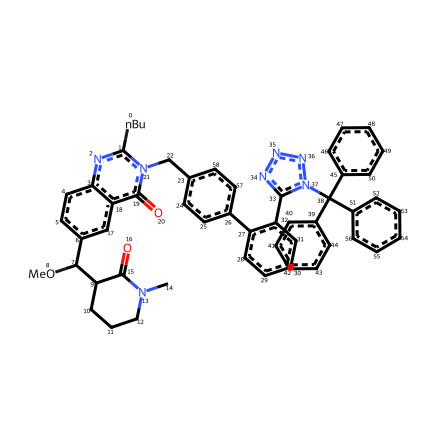 CCCCc1nc2ccc(C(OC)C3CCCN(C)C3=O)cc2c(=O)n1Cc1ccc(-c2ccccc2-c2nnnn2C(c2ccccc2)(c2ccccc2)c2ccccc2)cc1